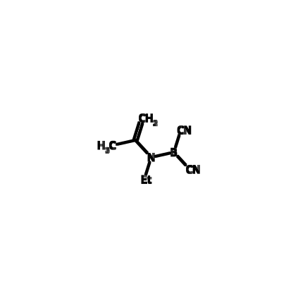 C=C(C)N(CC)B(C#N)C#N